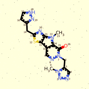 Cn1nncc1Cn1ncc2c3sc(Cc4cc[nH]n4)nc3n(C)c2c1=O